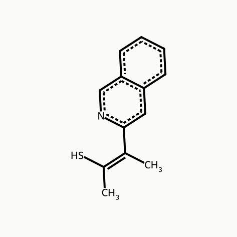 C/C(S)=C(\C)c1cc2ccccc2cn1